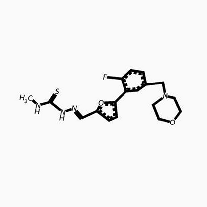 CNC(=S)NN=Cc1ccc(-c2cc(CN3CCOCC3)ccc2F)o1